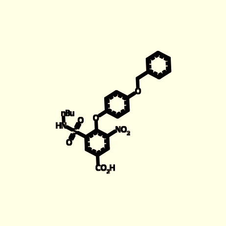 CCCCNS(=O)(=O)c1cc(C(=O)O)cc([N+](=O)[O-])c1Oc1ccc(OCc2ccccc2)cc1